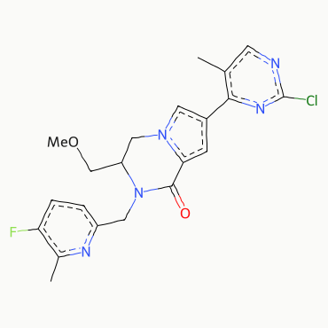 COCC1Cn2cc(-c3nc(Cl)ncc3C)cc2C(=O)N1Cc1ccc(F)c(C)n1